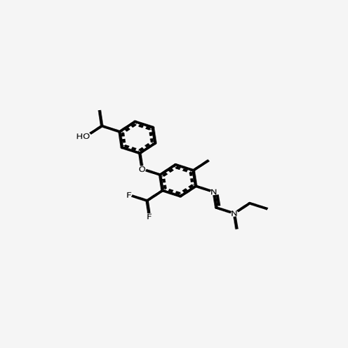 CCN(C)/C=N/c1cc(C(F)F)c(Oc2cccc(C(C)O)c2)cc1C